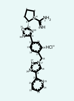 Cl.N=C(N)N1CCC[C@H]1c1nc(-c2ccc(Cn3cc(-c4ccccn4)nn3)cc2)no1